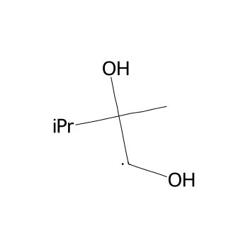 CC(C)C(C)(O)[CH]O